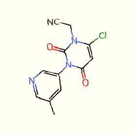 Cc1cncc(-n2c(=O)cc(Cl)n(CC#N)c2=O)c1